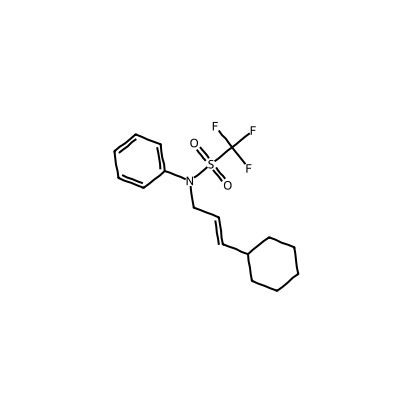 O=S(=O)(N(CC=CC1CCCCC1)c1ccccc1)C(F)(F)F